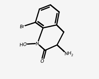 NC1Cc2cccc(Br)c2N(O)C1=O